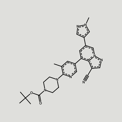 Cc1cc(-c2cc(-c3cnn(C)c3)cn3ncc(C#N)c23)cnc1N1CCN(C(=O)OC(C)(C)C)CC1